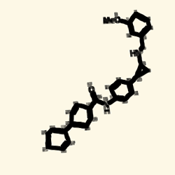 COc1cccc(CNC2CC2c2ccc(NC(=O)c3ccc(-c4ccccc4)cc3)cc2)c1